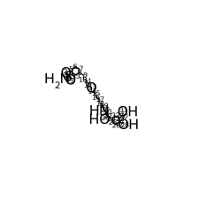 NS(=O)(=O)c1cccc(CCCCOCCCCCCNCC(O)c2ccc(O)c(CO)c2)c1